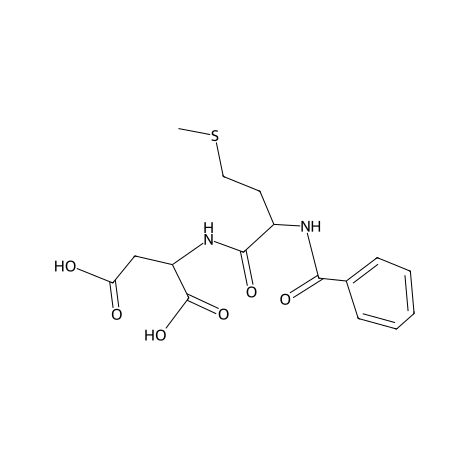 CSCCC(NC(=O)c1ccccc1)C(=O)NC(CC(=O)O)C(=O)O